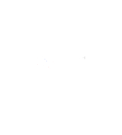 CCCCCOC1C=CC(=O)N1S(=O)(=O)c1ccccc1